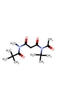 CC(=O)N(C(=O)CC(=O)N(C)C(=O)C(C)(C)C)C(C)(C)C